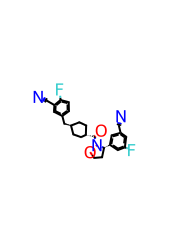 N#Cc1cc(F)cc([C@@H]2CCON2C(=O)[C@H]2CC[C@H](Cc3ccc(F)c(C#N)c3)CC2)c1